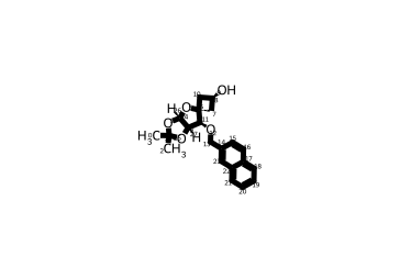 CC1(C)O[C@H]2O[C@]3(C[C@H](O)C3)[C@@H](OCc3ccc4ccccc4c3)[C@H]2O1